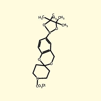 CCOC(=O)N1CCC2(CC1)OCc1cc(B3OC(C)(C)C(C)(C)O3)ccc1O2